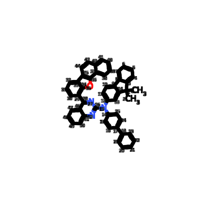 CC1(C)c2ccccc2-c2ccc(N(c3ccc(-c4ccccc4)cc3)c3nc(-c4cccc5c4oc4c6ccccc6ccc54)c4ccccc4n3)cc21